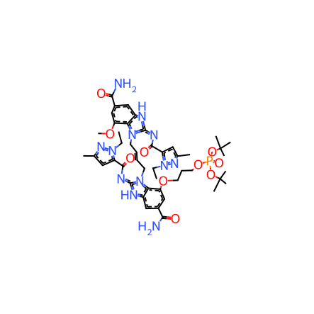 CCn1nc(C)cc1C(=O)/N=c1/[nH]c2cc(C(N)=O)cc(OC)c2n1C/C=C/Cn1/c(=N\C(=O)c2cc(C)nn2CC)[nH]c2cc(C(N)=O)cc(OCCCOP(=O)(OC(C)(C)C)OC(C)(C)C)c21